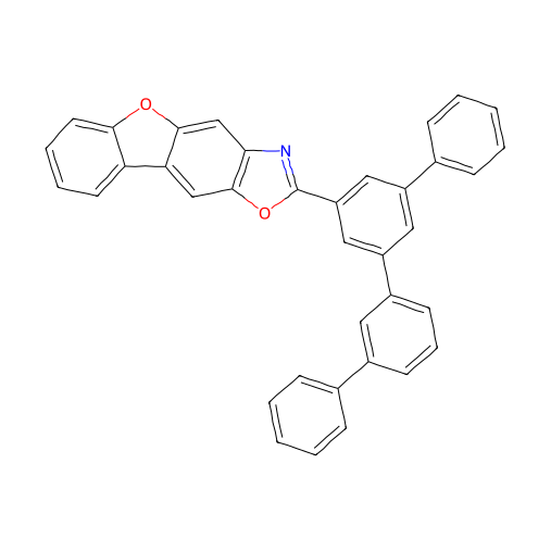 c1ccc(-c2cccc(-c3cc(-c4ccccc4)cc(-c4nc5cc6oc7ccccc7c6cc5o4)c3)c2)cc1